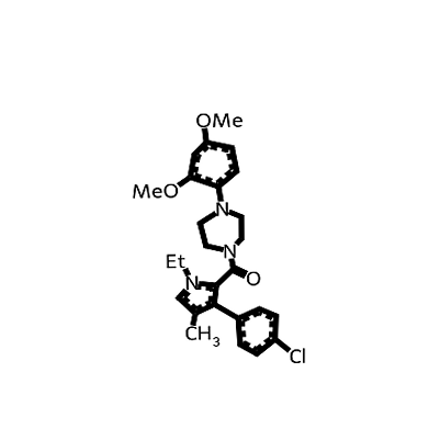 CCn1cc(C)c(-c2ccc(Cl)cc2)c1C(=O)N1CCN(c2ccc(OC)cc2OC)CC1